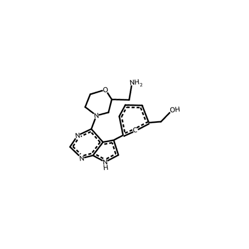 NCC1CN(c2ncnc3[nH]cc(-c4cccc(CO)c4)c23)CCO1